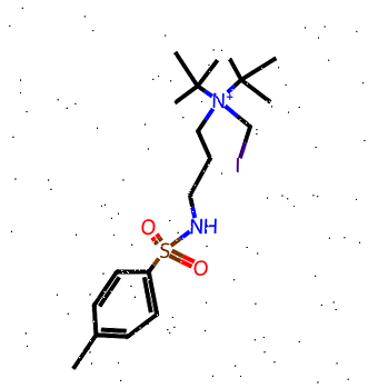 Cc1ccc(S(=O)(=O)NCCC[N+](CI)(C(C)(C)C)C(C)(C)C)cc1